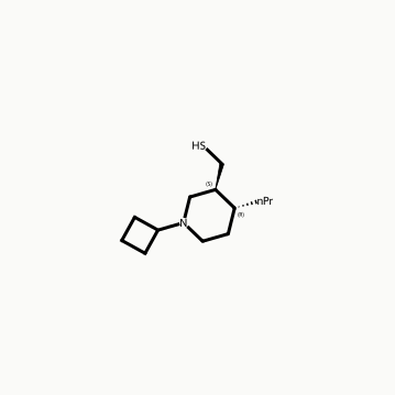 CCC[C@@H]1CCN(C2CCC2)C[C@H]1CS